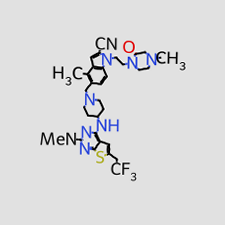 CNc1nc(NC2CCN(Cc3ccc4c(cc(C#N)n4CCN4CCN(C)CC4=O)c3C)CC2)c2cc(CC(F)(F)F)sc2n1